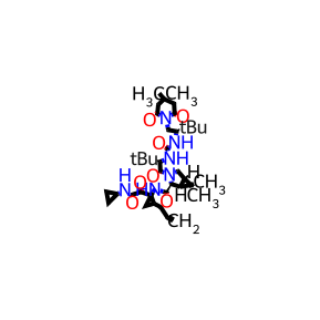 C=CCC1CC1(NC(=O)[C@@H]1[C@@H]2[C@H](CN1C(=O)[C@@H](NC(=O)N[C@H](CN1C(=O)CC(C)(C)CC1=O)C(C)(C)C)C(C)(C)C)C2(C)C)C(=O)C(=O)NC1CC1